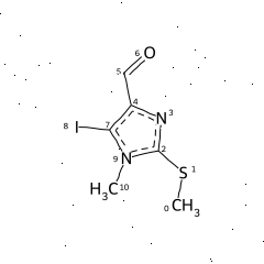 CSc1nc(C=O)c(I)n1C